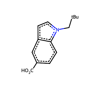 CC(C)(C)Cn1ccc2cc(C(=O)O)ccc21